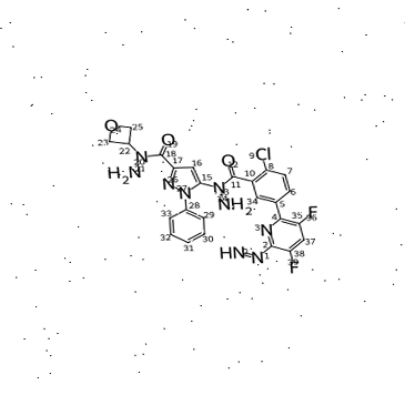 N=Nc1nc(-c2ccc(Cl)c(C(=O)N(N)c3cc(C(=O)N(N)C4COC4)nn3-c3ccccc3)c2)c(F)cc1F